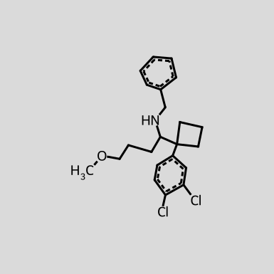 COCCCC(NCc1ccccc1)C1(c2ccc(Cl)c(Cl)c2)CCC1